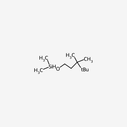 C[SiH](C)OCCC(C)(C)C(C)(C)C